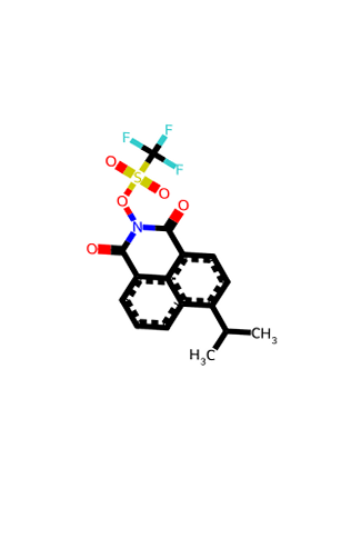 CC(C)c1ccc2c3c(cccc13)C(=O)N(OS(=O)(=O)C(F)(F)F)C2=O